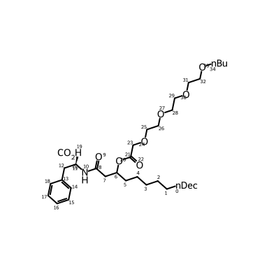 CCCCCCCCCCCCCCCC(CC(=O)N[C@@H](Cc1ccccc1)C(=O)O)OC(=O)COCCOCCOCCOCCCC